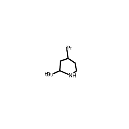 CC(C)C1CCNC(C(C)(C)C)C1